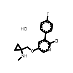 CNC1(COc2cnc(Cl)c(-c3ccc(F)cc3)c2)CC1.Cl